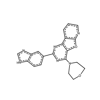 c1cnc2oc3c(N4CCOCC4)nc(-c4ccc5[nH]cnc5c4)nc3c2c1